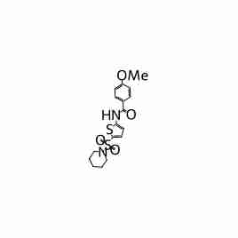 COc1ccc(C(=O)Nc2ccc(S(=O)(=O)N3CCCCC3)s2)cc1